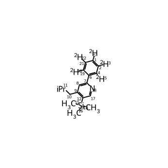 [2H]c1c([2H])c([2H])c(-c2cc(CC(C)C)c([Si](C)(C)C)cn2)c([2H])c1[2H]